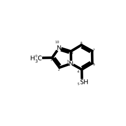 Cc1cn2c(S)cccc2n1